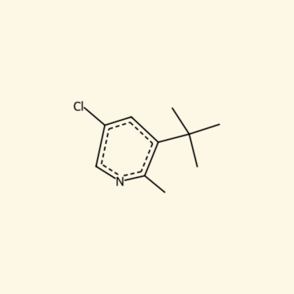 Cc1ncc(Cl)cc1C(C)(C)C